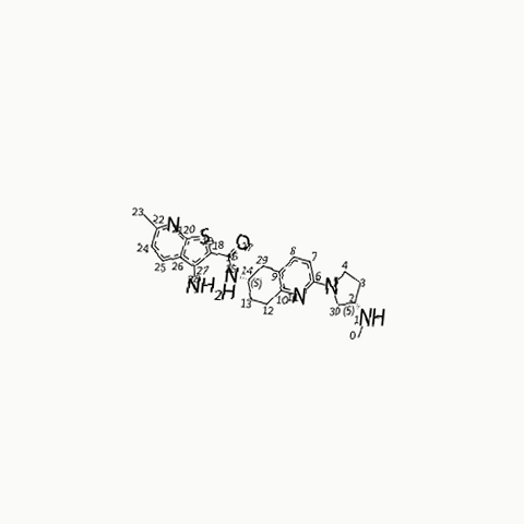 CN[C@H]1CCN(c2ccc3c(n2)CC[C@H](NC(=O)c2sc4nc(C)ccc4c2N)C3)C1